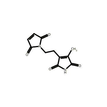 CC1=C(CCN2C(=O)C=CC2=O)C(=O)NC1=O